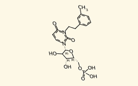 Cc1cccc(CCn2c(=O)ccn([C@@H]3O[C@H](COP(=O)(O)O)[C@H](O)C3O)c2=O)c1